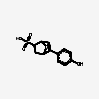 O=S(=O)(O)C1CC2OC1C=C2c1ccc(O)cc1